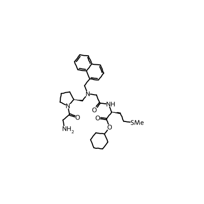 CSCC[C@H](NC(=O)CN(Cc1cccc2ccccc12)C[C@@H]1CCCN1C(=O)CN)C(=O)OC1CCCCC1